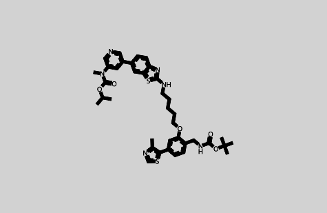 Cc1ncsc1-c1ccc(CNC(=O)OC(C)(C)C)c(OCCCCCNc2nc3ccc(-c4cncc(N(C)C(=O)OC(C)C)c4)cc3s2)c1